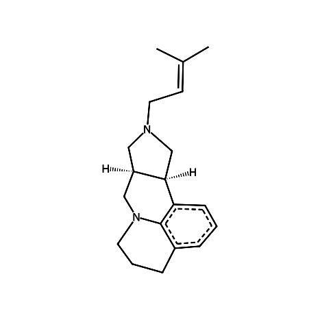 CC(C)=CCN1C[C@@H]2CN3CCCc4cccc(c43)[C@@H]2C1